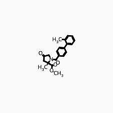 COC(=O)[C@]1(C)CC(=O)CN1C(=O)c1ccc(-c2ccccc2C)cc1